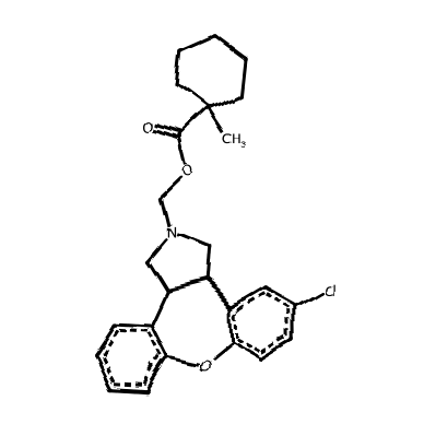 CC1(C(=O)OCN2CC3c4ccccc4Oc4ccc(Cl)cc4C3C2)CCCCC1